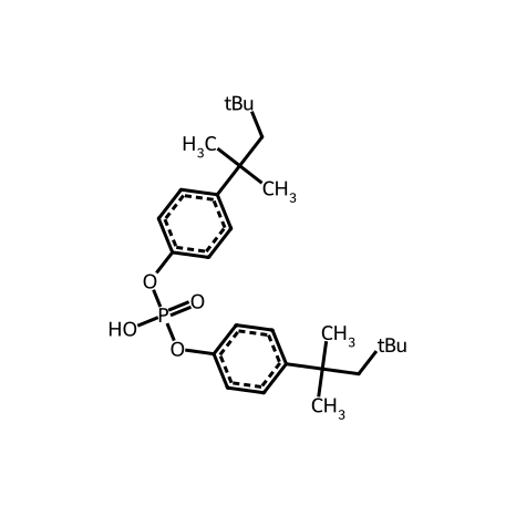 CC(C)(C)CC(C)(C)c1ccc(OP(=O)(O)Oc2ccc(C(C)(C)CC(C)(C)C)cc2)cc1